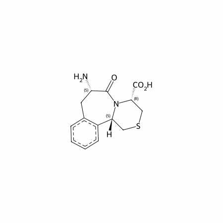 N[C@H]1Cc2ccccc2[C@H]2CSC[C@@H](C(=O)O)N2C1=O